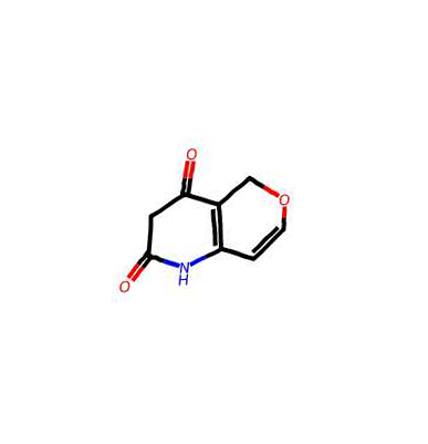 O=C1CC(=O)C2=C(C=COC2)N1